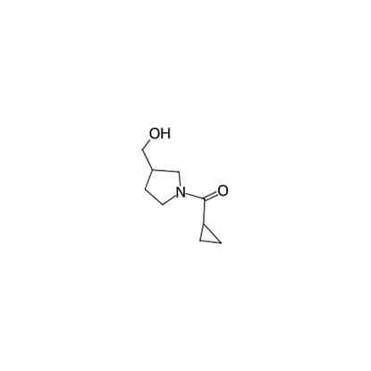 O=C(C1CC1)N1CCC(CO)C1